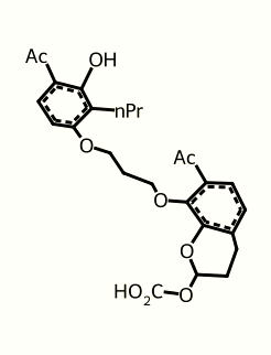 CCCc1c(OCCCOc2c(C(C)=O)ccc3c2OC(OC(=O)O)CC3)ccc(C(C)=O)c1O